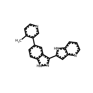 Cc1ccncc1-c1ccc2[nH]nc(-c3cc4ncccc4[nH]3)c2c1